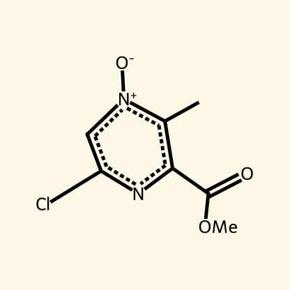 COC(=O)c1nc(Cl)c[n+]([O-])c1C